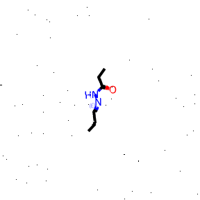 CC/C=N/NC(=O)CC